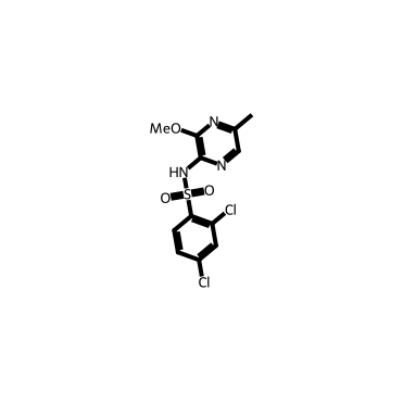 COc1nc(C)cnc1NS(=O)(=O)c1ccc(Cl)cc1Cl